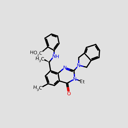 CCn1c(N2Cc3ccccc3C2)nc2c([C@@H](C)Nc3ccccc3C(=O)O)cc(C)cc2c1=O